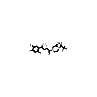 NC(CCC(=O)N1CCn2c(nnc2C(F)(F)F)C1)c1cc(F)c(F)cc1F